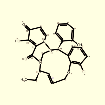 CC[C@@H]1/C=C/COc2c(Cl)cccc2[C@H](c2ccccc2C)N2CN1C(=O)c1c(O)c(=O)ccn12